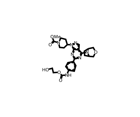 COC(=O)N1CCC(n2ncc3c(N4C5CCC4COC5)nc(-c4ccc(NC(=O)OCCO)cc4)nc32)CC1